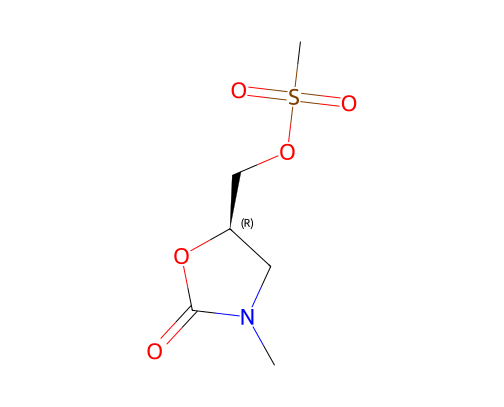 CN1C[C@H](COS(C)(=O)=O)OC1=O